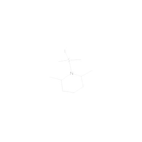 CC1CCCC(C)N1S(C)(C)I